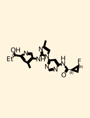 CC[C@H](O)c1cc(C)c(Nc2nc(C)cn2-c2cc(NC(=O)[C@H]3C[C@H]3F)ncn2)cn1